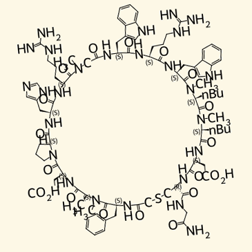 CCCC[C@H]1C(=O)N(C)[C@@H](CCCC)C(=O)N[C@@H](CC(=O)O)C(=O)N[C@H](C(=O)NCC(N)=O)CSCC(=O)N[C@@H](Cc2ccccc2)C(=O)N(C)[C@@H](C)C(=O)N[C@@H](CC(=O)O)C(=O)N2CCC[C@H]2C(=O)N[C@@H](Cc2cnc[nH]2)C(=O)N[C@@H](CCCNC(=N)N)C(=O)N(C)CC(=O)N[C@@H](Cc2c[nH]c3ccccc23)C(=O)N[C@@H](CCCNC(=N)N)C(=O)N[C@@H](Cc2c[nH]c3ccccc23)C(=O)N1C